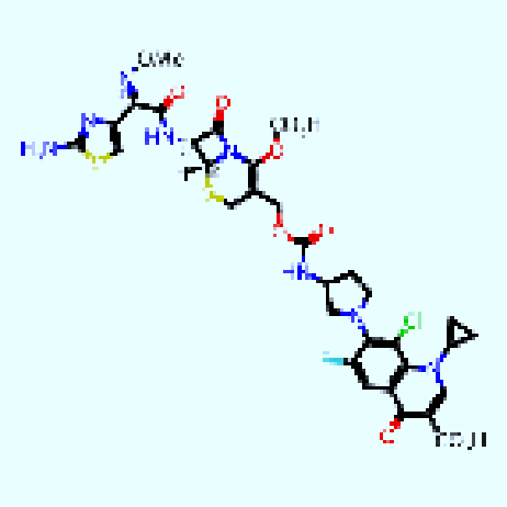 CO/N=C(\C(=O)N[C@@H]1C(=O)N2C(OC(=O)O)=C(COC(=O)NC3CCN(c4c(F)cc5c(=O)c(C(=O)O)cn(C6CC6)c5c4Cl)C3)CS[C@H]12)c1csc(N)n1